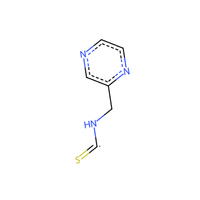 S=[C]NCc1cnccn1